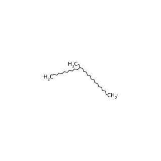 [CH2]CCCCCCCCCCCCCCC(CC)CCCCCCCCCC[CH2]